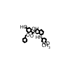 Cn1cc(Nc2cccc3c2CN(C(=O)c2c(O)cc(O)cc2OCc2ccccc2)CC3)ccc1=O